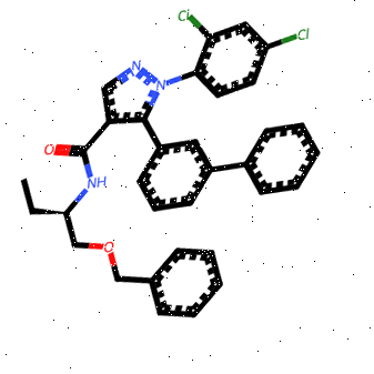 CC[C@H](COCc1ccccc1)NC(=O)c1cnn(-c2ccc(Cl)cc2Cl)c1-c1cccc(-c2ccccc2)c1